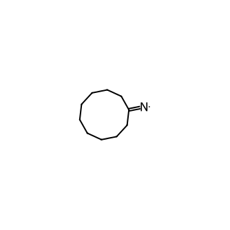 [N]=C1CCCCCCCCC1